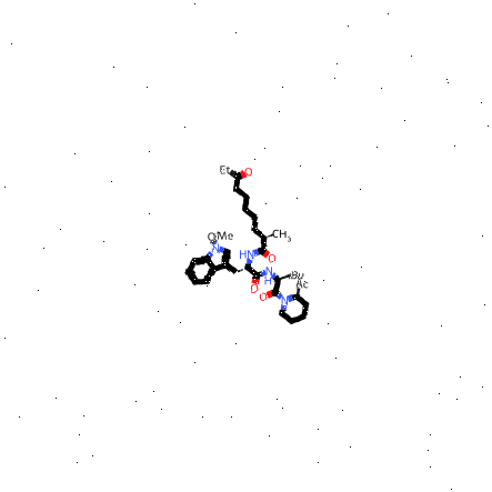 CCC(=O)CCCCC[C@H](C)C(=O)N[C@@H](Cc1cn(OC)c2ccccc12)C(=O)N[C@H](C(=O)N1CCCC[C@@H]1C(C)=O)C(C)CC